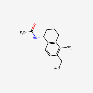 CC(=O)OCc1ccc2c(c1[N+](=O)[O-])CCC[C@H]2NC(=O)C(F)(F)F